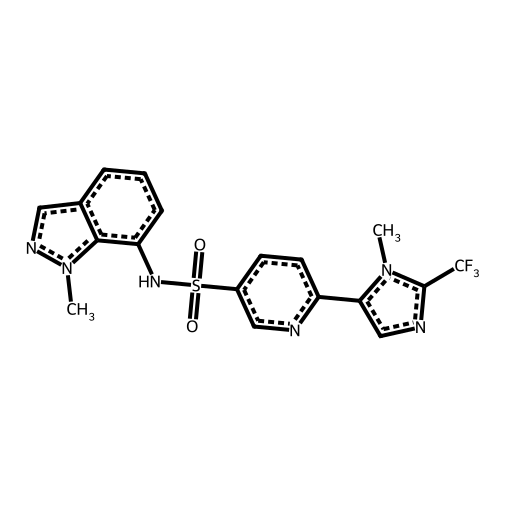 Cn1c(-c2ccc(S(=O)(=O)Nc3cccc4cnn(C)c34)cn2)cnc1C(F)(F)F